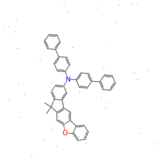 CC1(C)c2ccc(N(c3ccc(-c4ccccc4)cc3)c3ccc(-c4ccccc4)cc3)cc2-c2cc3c(cc21)oc1ccccc13